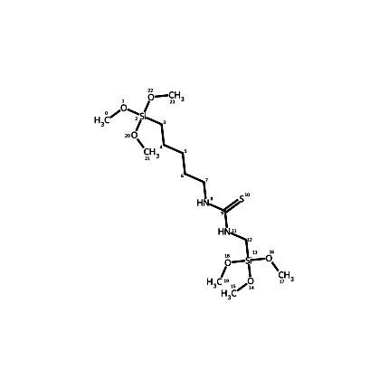 CO[Si](CCCCCNC(=S)NC[Si](OC)(OC)OC)(OC)OC